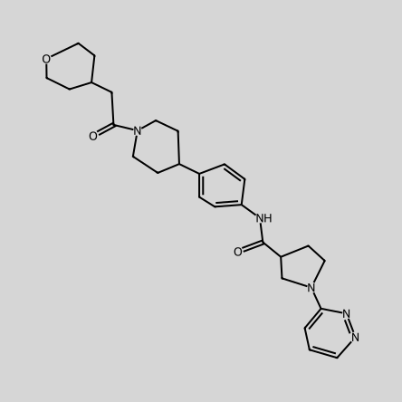 O=C(Nc1ccc(C2CCN(C(=O)CC3CCOCC3)CC2)cc1)C1CCN(c2cccnn2)C1